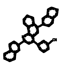 N#Cc1cccc(-c2cc(-c3ccc4ccccc4c3)nc3c2cc(-c2ccc4ccccc4c2)c2ccccc23)c1